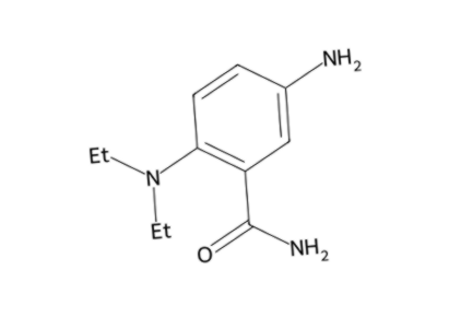 CCN(CC)c1ccc(N)cc1C(N)=O